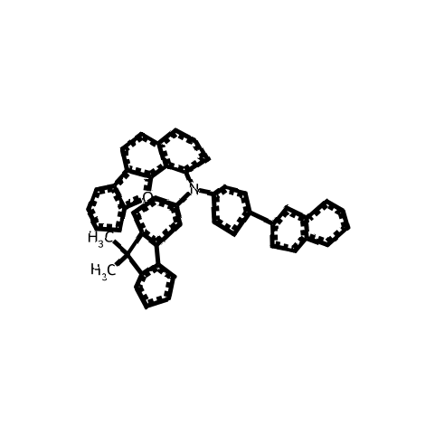 CC1(C)c2ccccc2-c2cc(N(c3ccc(-c4ccc5ccccc5c4)cc3)c3cccc4ccc5c6ccccc6oc5c34)ccc21